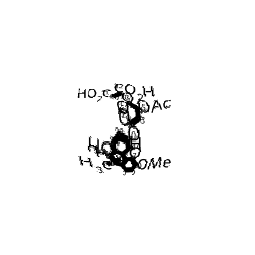 COc1ccc2c3c1O[C@@H]1C(OC(=O)C[C@H](OC(C)=O)C(=O)O[C@H](CC(=O)O)C(=O)O)=CC[C@]4(O)[C@H](C2)N(C)CC[C@@]314